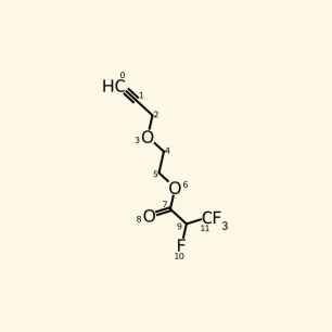 C#CCOCCOC(=O)C(F)C(F)(F)F